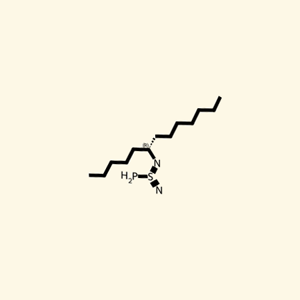 CCCCCCC[C@@H](CCCCC)N=S(#N)P